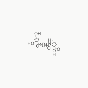 Cc1ccc(C(=O)O)cc1NC(=O)N1CCN(C(=O)c2ccc(CO)cc2CO)CC1